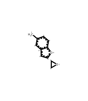 C1CO1.Cc1ccc2occc2c1